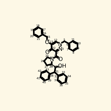 O=C(c1nn(Cc2ccccc2)cc(OCc2ccccc2)c1=O)N1CCC[C@@H]1C(O)C(c1ccccc1)c1ccccc1